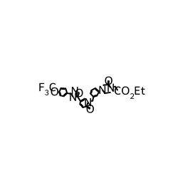 CCOC(=O)CN1CCN(c2cccc(Cn3cc(-c4nc(-c5ccc(OC(F)(F)F)cc5)no4)ccc3=O)c2)CC1=O